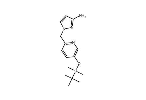 CC(C)(C)[Si](C)(C)Oc1ccc(Cn2ccc(N)n2)nc1